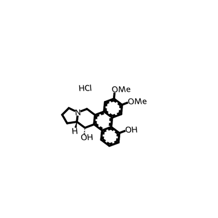 COc1cc2c3c(c4cccc(O)c4c2cc1OC)[C@H](O)[C@@H]1CCCN1C3.Cl